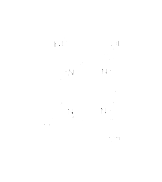 CC(CO)N1CCCN(CCO)CCN(CCO)CCCN(CCO)CC1